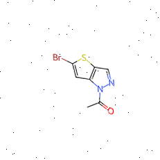 CC(=O)n1ncc2sc(Br)cc21